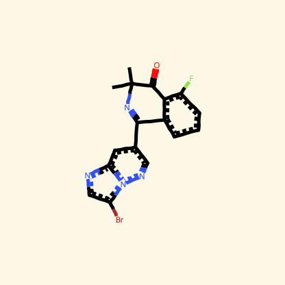 CC1(C)N=C(c2cnn3c(Br)cnc3c2)c2cccc(F)c2C1=O